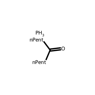 CCCCCC(=O)CCCCC.P